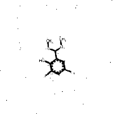 COC(OC)c1cc(I)cc(I)c1O